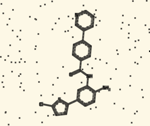 Nc1ccc(-c2ccc(Cl)s2)cc1NC(=O)c1ccc(-c2cccnc2)cc1